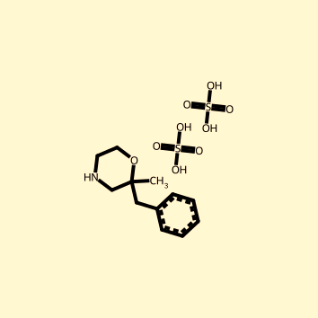 CC1(Cc2ccccc2)CNCCO1.O=S(=O)(O)O.O=S(=O)(O)O